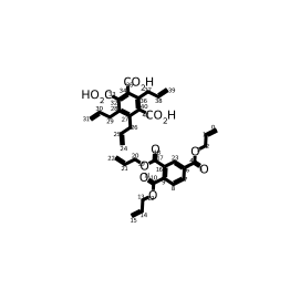 C=CCOC(=O)c1ccc(C(=O)OCC=C)c(C(=O)OCC=C)c1.C=CCc1c(CC=C)c(C(=O)O)c(C(=O)O)c(CC=C)c1C(=O)O